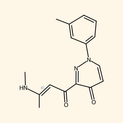 CN/C(C)=C/C(=O)c1nn(-c2cccc(C)c2)ccc1=O